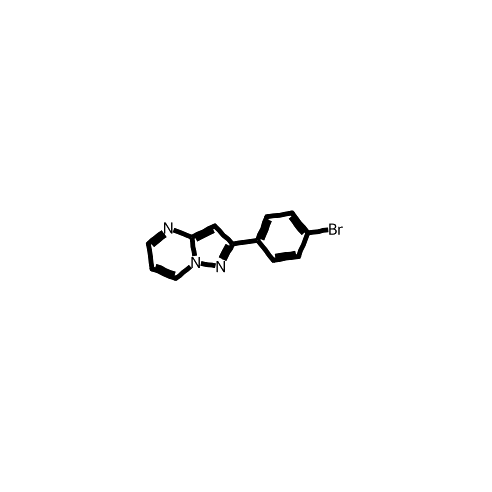 Brc1ccc(-c2cc3ncccn3n2)cc1